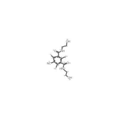 N#Cc1c(I)c(C(=O)NCCO)c(I)c(C(=O)NCCO)c1I